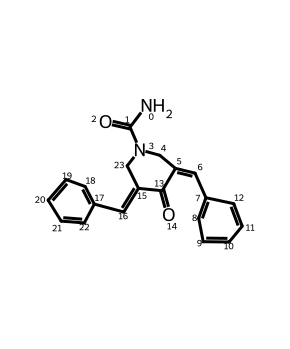 NC(=O)N1CC(=Cc2ccccc2)C(=O)C(=Cc2ccccc2)C1